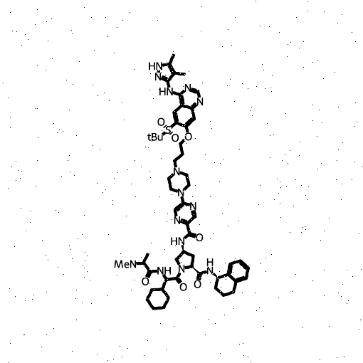 CNC(C)C(=O)NC(C(=O)N1C[C@@H](NC(=O)c2cnc(N3CCN(CCCOc4cc5ncnc(Nc6n[nH]c(C)c6C)c5cc4S(=O)(=O)C(C)(C)C)CC3)cn2)C[C@H]1C(=O)N[C@@H]1CCCc2ccccc21)C1CCCCC1